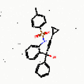 Cc1ccc(S(=O)(=O)Nc2ccccc2C(O)(C#CC2CC2)c2ccccc2)cc1